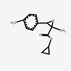 Cc1ccc(C2OC2(C)C(=O)OC2CC2)cc1